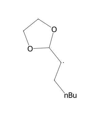 CCCCC[CH]C1OCCO1